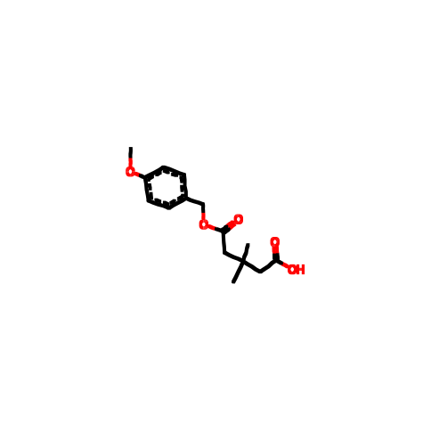 COc1ccc(COC(=O)CC(C)(C)CC(=O)O)cc1